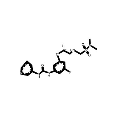 C[C@H](CNCS(=O)(=O)N(C)C)Oc1cc(F)cc(NC(=O)Nc2cccnc2)c1